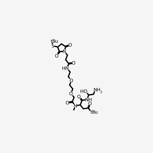 CN(C(=O)COCCOCCNC(=O)CCN1C(=O)CC(SC(C)(C)C)C1=O)C(CC(=O)C(C)(C)C)C(=O)NC(O)CN